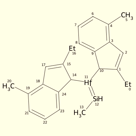 CCC1=Cc2c(C)cccc2[CH]1[Hf](=[SiH]C)[CH]1C(CC)=Cc2c(C)cccc21